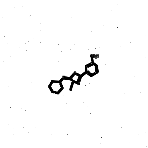 Cn1nc(-c2cccc(C(=O)O)c2)s/c1=N/C1CCCCC1